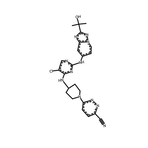 CC(C)(O)c1nc2cc(Nc3ncc(Cl)c(NC4CCN(c5ccc(C#N)nn5)CC4)n3)ccn2n1